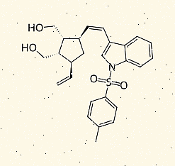 C=C[C@@H]1C[C@H](/C=C\c2cn(S(=O)(=O)c3ccc(C)cc3)c3ccccc23)[C@@H](CO)[C@H]1CO